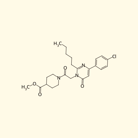 CCCCCc1nc(-c2ccc(Cl)cc2)cc(=O)n1CC(=O)N1CCC(C(=O)OC)CC1